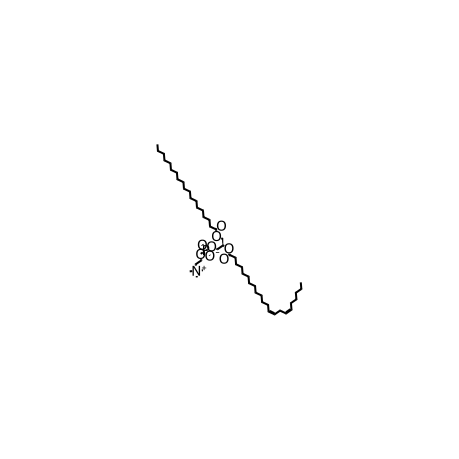 CCCCC/C=C\C/C=C\CCCCCCCCCCCC(=O)O[C@H](COC(=O)CCCCCCCCCCCCCCCCCC)COP(=O)([O-])OCC[N+](C)(C)C